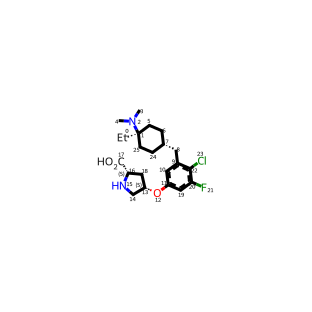 CC[C@]1(N(C)C)CC[C@H](Cc2cc(O[C@@H]3CN[C@H](C(=O)O)C3)cc(F)c2Cl)CC1